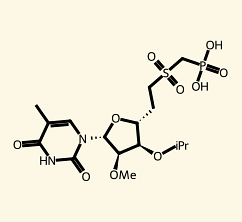 CO[C@@H]1[C@H](OC(C)C)[C@@H](CCS(=O)(=O)CP(=O)(O)O)O[C@H]1n1cc(C)c(=O)[nH]c1=O